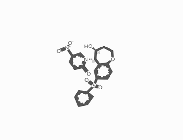 O=c1ccc([N+](=O)[O-])cn1[C@H]1c2cc(S(=O)(=O)c3ccccc3)ccc2OCC[C@@H]1O